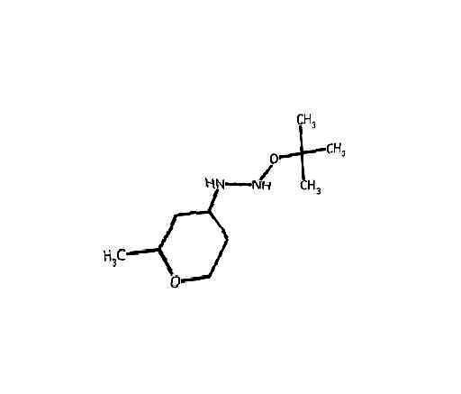 CC1CC(NNOC(C)(C)C)CCO1